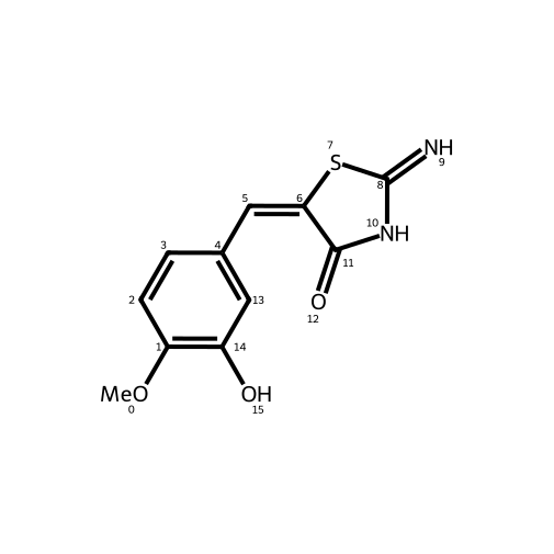 COc1ccc(C=C2SC(=N)NC2=O)cc1O